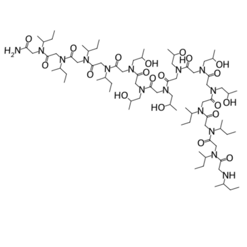 CCC(C)NCC(=O)N(CC(=O)N(CC(=O)N(CC(=O)N(CC(=O)N(CC(=O)N(CC(=O)N(CC(=O)N(CC(=O)N(CC(=O)N(CC(=O)N(CC(=O)N(CC(=O)N(CC(N)=O)C(C)CC)C(C)CC)C(C)CC)C(C)CC)CC(C)O)CC(C)O)CC(C)O)CC(C)O)CC(C)O)CC(C)O)C(C)CC)C(C)CC)C(C)CC